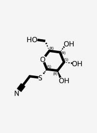 N#CCS[C@@H]1O[C@H](CO)[C@H](O)[C@H](O)[C@H]1O